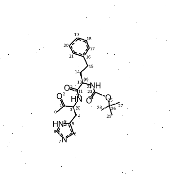 CC(=O)[C@H](Cc1cnc[nH]1)NC(=O)[C@@H](CCc1ccccc1)NC(=O)OC(C)(C)C